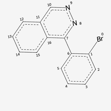 Brc1ccccc1-c1nncc2ccccc12